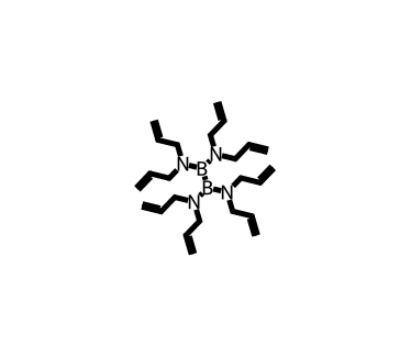 C=CCN(CC=C)B(B(N(CC=C)CC=C)N(CC=C)CC=C)N(CC=C)CC=C